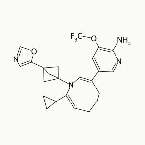 Nc1ncc(/C2=C/N(C34CC(c5cnco5)(C3)C4)/C(C3CC3)=C\CCC2)cc1OC(F)(F)F